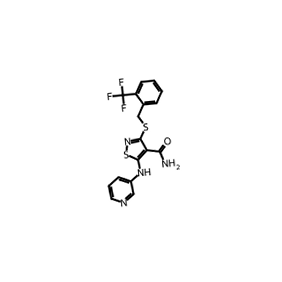 NC(=O)c1c(SCc2ccccc2C(F)(F)F)nsc1Nc1cccnc1